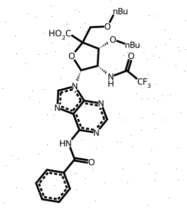 CCCCOCC1(C(=O)O)O[C@@H](n2cnc3c(NC(=O)c4ccccc4)ncnc32)[C@@H](NC(=O)C(F)(F)F)[C@H]1OCCCC